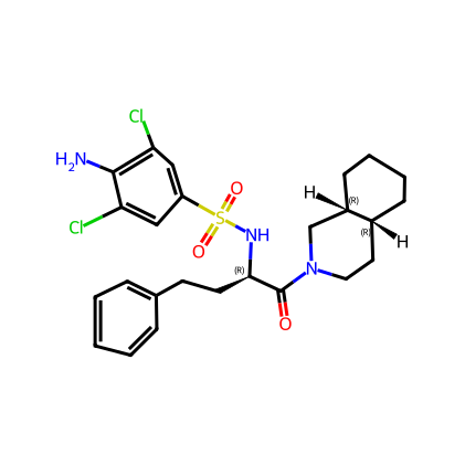 Nc1c(Cl)cc(S(=O)(=O)N[C@H](CCc2ccccc2)C(=O)N2CC[C@H]3CCCC[C@H]3C2)cc1Cl